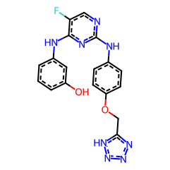 Oc1cccc(Nc2nc(Nc3ccc(OCc4nnn[nH]4)cc3)ncc2F)c1